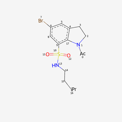 CC(=O)N1CCc2cc(Br)cc(S(=O)(=O)NCCC(C)C)c21